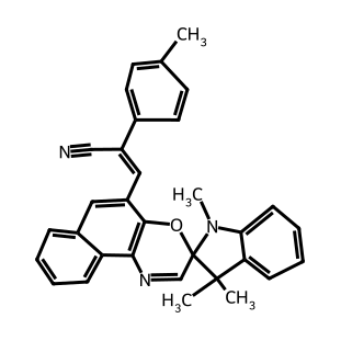 Cc1ccc(C(C#N)=Cc2cc3ccccc3c3c2OC2(C=N3)N(C)c3ccccc3C2(C)C)cc1